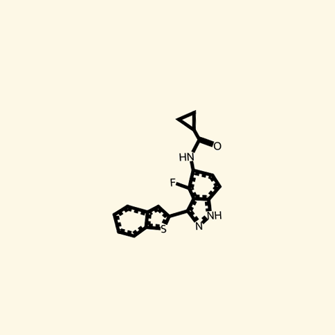 O=C(Nc1ccc2[nH]nc(-c3cc4ccccc4s3)c2c1F)C1CC1